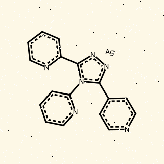 [Ag].c1ccc(-c2nnc(-c3ccncc3)n2-c2ccccn2)nc1